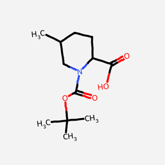 CC1CCC(C(=O)O)N(C(=O)OC(C)(C)C)C1